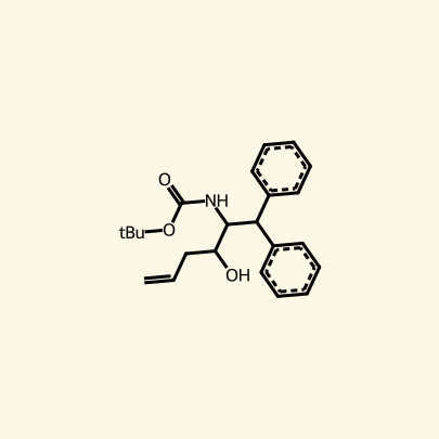 C=CCC(O)C(NC(=O)OC(C)(C)C)C(c1ccccc1)c1ccccc1